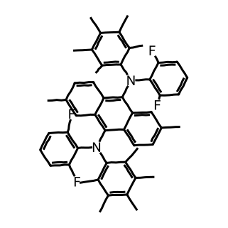 Cc1ccc2c(N(c3c(F)cccc3F)c3c(C)c(C)c(C)c(C)c3C)c3cc(C)ccc3c(N(c3c(F)cccc3F)c3c(C)c(C)c(C)c(C)c3C)c2c1